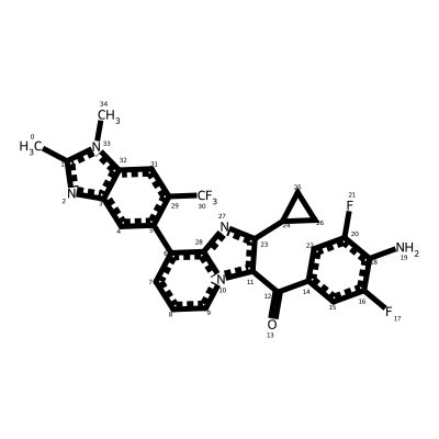 Cc1nc2cc(-c3cccn4c(C(=O)c5cc(F)c(N)c(F)c5)c(C5CC5)nc34)c(C(F)(F)F)cc2n1C